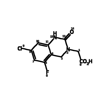 O=C(O)CN1Cc2c(F)cc(Cl)cc2NC1=O